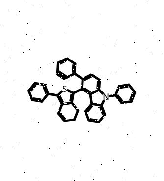 c1cccc(-c2ccc3c(c2-c2sc(-c4ccccc4)c4c2CCC=C4)c2ccccc2n3-c2ccccc2)c#1